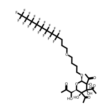 CC(=O)C(O)[C@H]1O[C@@H](OCCCCOCCCC(F)(F)C(F)(F)C(F)(F)C(F)(F)C(F)(F)C(F)(F)C(F)(F)C(F)(F)F)[C@@](O)(C(C)=O)[C@](O)(C(C)=O)[C@]1(O)C(C)=O